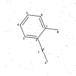 [CH3][Y][c]1ccccc1C